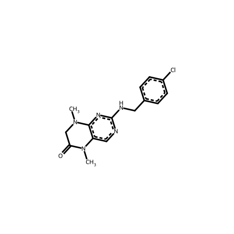 CN1CC(=O)N(C)c2cnc(NCc3ccc(Cl)cc3)nc21